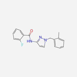 Cc1ccccc1Cn1ccc(NC(=O)c2ccccc2F)n1